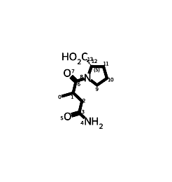 CC(CC(N)=O)C(=O)N1CCC[C@H]1C(=O)O